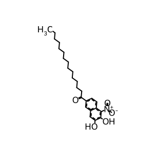 CCCCCCCCCCCCCCC(=O)c1ccc2c([N+](=O)[O-])c(O)c(O)cc2c1